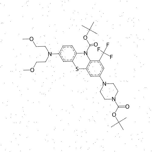 COCCN(CCOC)c1ccc2c(c1)Sc1cc(N3CCN(C(=O)OC(C)(C)C)CC3)cc(C(F)(F)F)c1N2C(=O)OC(C)(C)C